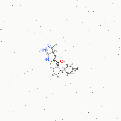 Cc1n[nH]c2ncc(C(=O)N3CCC[C@@H]3c3ccc(Cl)cc3)cc12